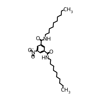 CCCCCCCCCCNC(=O)c1cc(C(=O)NCCCCCCCCCC)cc([N+](=O)[O-])c1